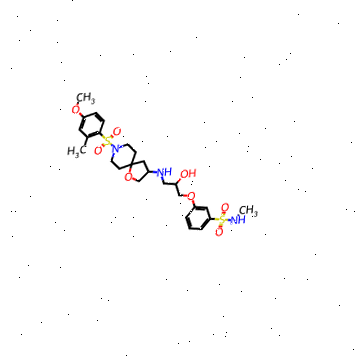 CNS(=O)(=O)c1cccc(OCC(O)CNC2COC3(CCN(S(=O)(=O)c4ccc(OC)cc4C)CC3)C2)c1